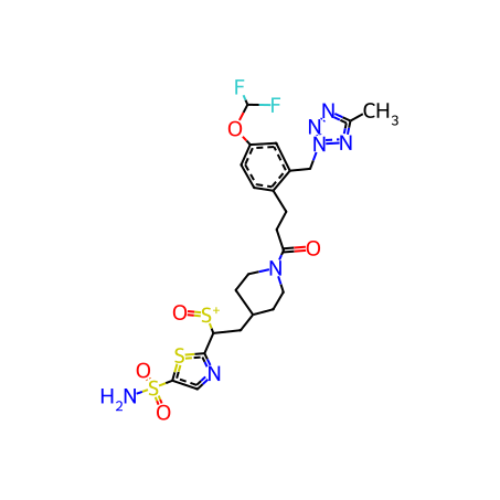 Cc1nnn(Cc2cc(OC(F)F)ccc2CCC(=O)N2CCC(CC([S+]=O)c3ncc(S(N)(=O)=O)s3)CC2)n1